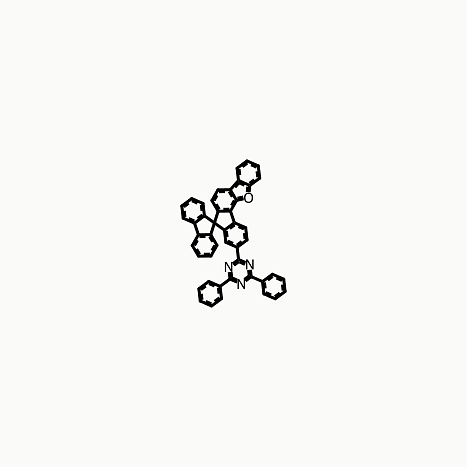 c1ccc(-c2nc(-c3ccccc3)nc(-c3ccc4c(c3)C3(c5ccccc5-c5ccccc53)c3ccc5c(oc6ccccc65)c3-4)n2)cc1